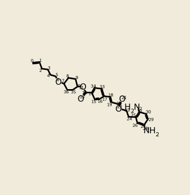 C=CCCCCOC1CCC(OC(=O)c2ccc(/C=C/C(=O)OCCc3cc(N)ccc3N)cc2)CC1